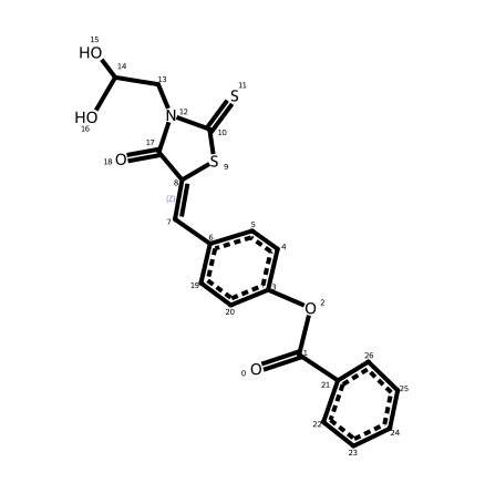 O=C(Oc1ccc(/C=C2\SC(=S)N(CC(O)O)C2=O)cc1)c1ccccc1